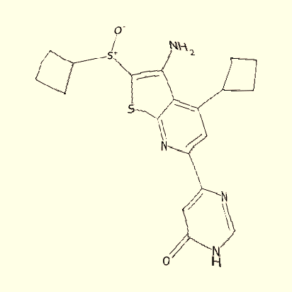 Nc1c([S+]([O-])C2CCC2)sc2nc(-c3cc(=O)[nH]cn3)cc(C3CCC3)c12